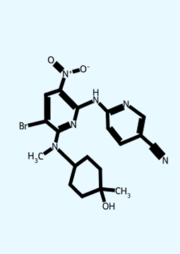 CN(c1nc(Nc2ccc(C#N)cn2)c([N+](=O)[O-])cc1Br)C1CCC(C)(O)CC1